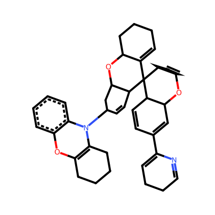 C1=CC2OC3C=C(C4=CCCC=N4)C=CC3C3(C4=CCCCC4OC4CC(N5C6=C(CCCC6)Oc6ccccc65)C=CC43)C2CC1